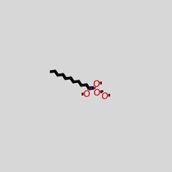 CCCCCCCCCC/C(OC)=C(\OC)OCOC